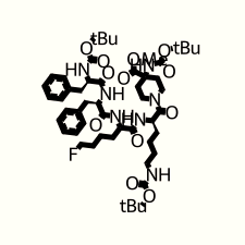 COC(=O)C1(NC(=O)OC(C)(C)C)CCN(C(=O)[C@@H](CCCCNC(=O)OC(C)(C)C)NC(=O)C(CCCCF)NC(=O)[C@@H](Cc2ccccc2)NC(=O)[C@@H](Cc2ccccc2)NC(=O)OC(C)(C)C)CC1